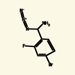 [N-]=[N+]=NC(N)c1ccc(Br)cc1F